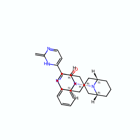 C=C1N=CC=C(c2nc3ccccc3n([C@H]3C[C@H]4CCC[C@@H](C3)N4[C@H]3C[C@@H]4CCC[C@@H](C4)C3)c2=O)N1